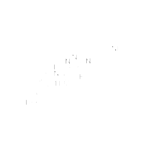 CN(CC1CCNCC1)c1c(F)c(C(=O)N[C@H]2C3CC4CC2C[C@](O)(C4)C3)nn1C